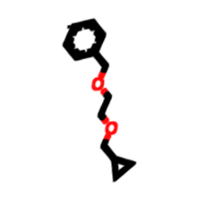 [c]1ccc(COCCOCC2CC2)cc1